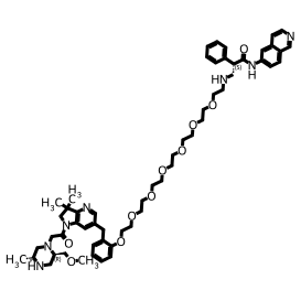 COC[C@H]1CN[C@H](C)CN1CC(=O)N1CC(C)(C)c2ncc(Cc3ccccc3OCCOCCOCCOCCOCCOCCOCCNC[C@@H](C(=O)Nc3ccc4cnccc4c3)c3ccccc3)cc21